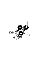 NS(=O)(=O)c1ccc(NCC2CCNCC2)c([N+](=O)[O-])c1.O=COCc1ccccc1